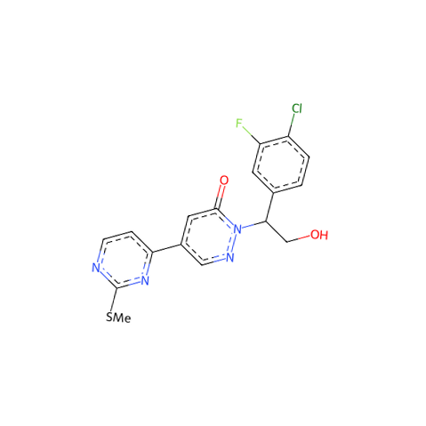 CSc1nccc(-c2cnn(C(CO)c3ccc(Cl)c(F)c3)c(=O)c2)n1